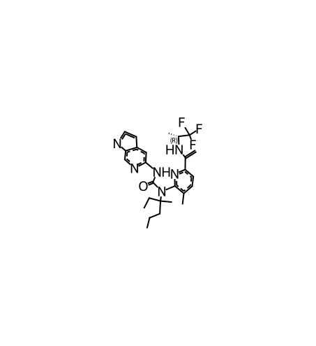 C=C(N[C@H](C)C(F)(F)F)c1ccc(C)c(N(C(=O)Nc2cc3c(cn2)N=C=C3)C(C)(CC)CCC)n1